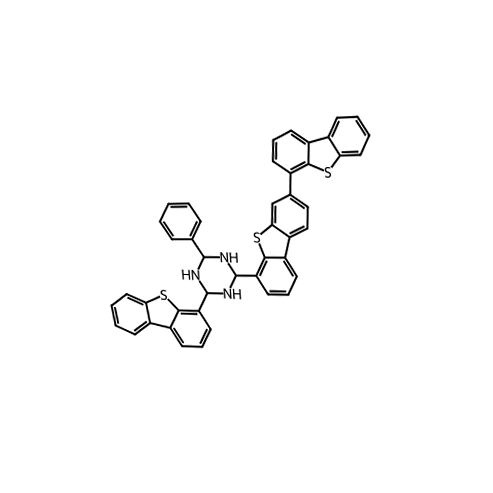 c1ccc(C2NC(c3cccc4c3sc3ccccc34)NC(c3cccc4c3sc3cc(-c5cccc6c5sc5ccccc56)ccc34)N2)cc1